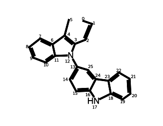 C/C=C\c1c(C)c2ccccc2n1-c1ccc2[nH]c3ccccc3c2c1